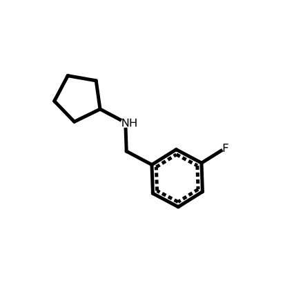 Fc1cccc(CNC2CCCC2)c1